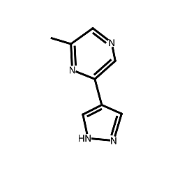 Cc1cncc(-c2cn[nH]c2)n1